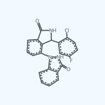 O=C1NC(c2cc(F)ccc2Cl)c2c1cccc2-n1[nH]c(=O)c2ccccc21